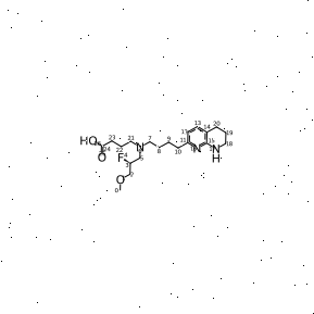 COC[C@@H](F)CN(CCCCc1ccc2c(n1)NCCC2)CCCC(=O)O